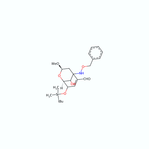 CO[C@H]1CC2(NOCc3ccccc3)C(C=O)=CC(O[Si](C)(C)C(C)(C)C)[C@@H](O1)C2O